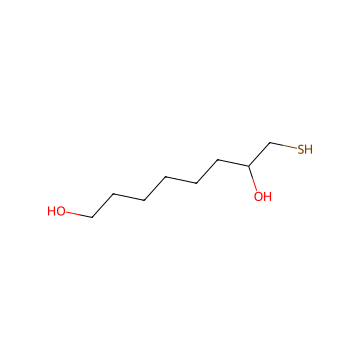 OCCCCCCC(O)CS